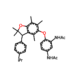 CC(=O)Nc1ccc(Oc2c(C)c(C)c3c(c2C)C(c2ccc(C(C)C)cc2)C(C)(C)O3)c(NC(C)=O)c1